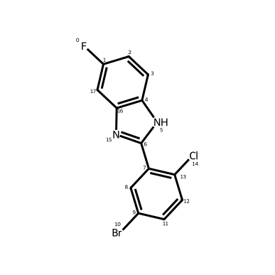 Fc1ccc2[nH]c(-c3cc(Br)ccc3Cl)nc2c1